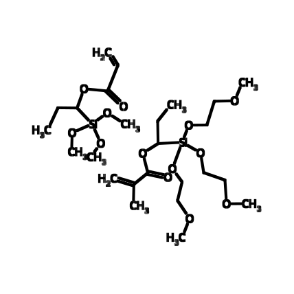 C=C(C)C(=O)OC(CC)[Si](OCCOC)(OCCOC)OCCOC.C=CC(=O)OC(CC)[Si](OC)(OC)OC